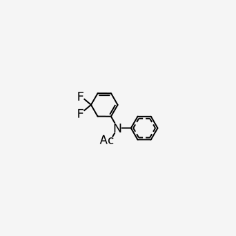 CC(=O)N(C1=CC=CC(F)(F)C1)c1ccccc1